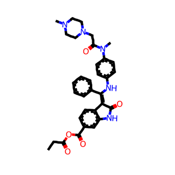 CCC(=O)OC(=O)c1ccc2c(c1)NC(=O)/C2=C(\Nc1ccc(N(C)C(=O)CN2CCN(C)CC2)cc1)c1ccccc1